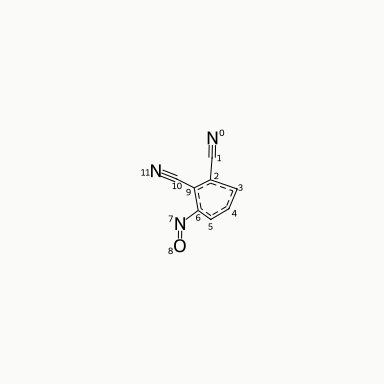 N#Cc1cccc(N=O)c1C#N